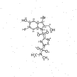 CN(C)S(=O)(=O)n1cnc(S(=O)(=O)n2c(CO)c(Br)c3cc(O)c(F)cc32)n1